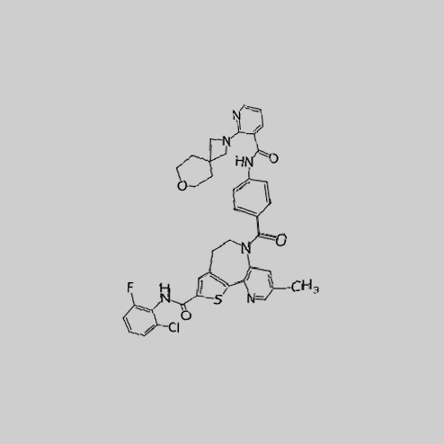 Cc1cnc2c(c1)N(C(=O)c1ccc(NC(=O)c3cccnc3N3CC4(CCOCC4)C3)cc1)CCc1cc(C(=O)Nc3c(F)cccc3Cl)sc1-2